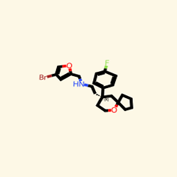 Fc1ccc([C@]2(CCNCc3cc(Br)co3)CCOC3(CCCC3)C2)cc1